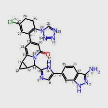 Nc1n[nH]c2cc(-c3cnc(C4C5CC5c5cc(C6=C(n7cnnn7)CCC(Cl)=C6)cc(=O)n54)[nH]3)ccc12